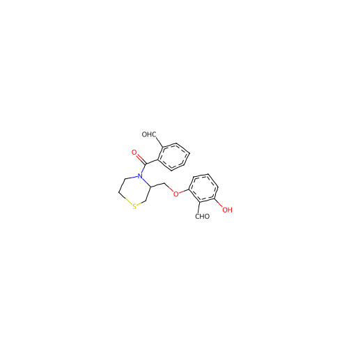 O=Cc1ccccc1C(=O)N1CCSCC1COc1cccc(O)c1C=O